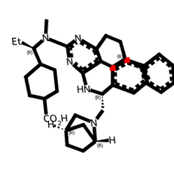 CC[C@H](C1CCC(C(=O)O)CC1)N(C)c1nc2c(c(N[C@@H](CN3C[C@@H]4CC[C@@H]3C4)c3ccccc3)n1)C[C@H](c1ccccc1)CC2